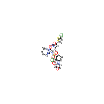 O=C([C@H](Cc1cc(-c2ccc(Cl)s2)on1)NS(=O)(=O)c1cccc(N2CCOCC2=O)c1Cl)N1CCCCCC1